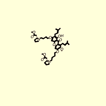 COC(=O)C[C@H]1CCCN1CCCCOc1cc2oc3cc(OCCCCN4CCC[C@@H]4CC(=O)OC)c(OC)c(CC=C(C)C)c3c(=O)c2c(O)c1CC=C(C)C